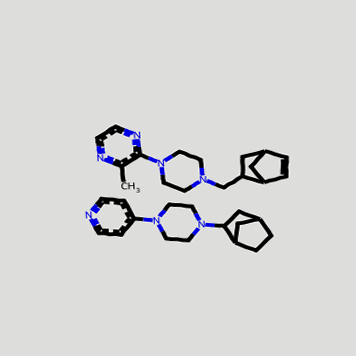 Cc1nccnc1N1CCN(CC2CC3C=CC2C3)CC1.c1cc(N2CCN(C3CC4CCC3C4)CC2)ccn1